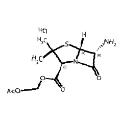 CC(=O)OCOC(=O)[C@@H]1N2C(=O)[C@@H](N)[C@H]2SC1(C)C.Cl